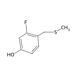 CSCc1ccc(O)cc1F